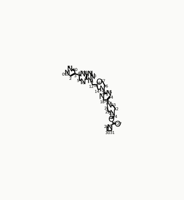 Cn1cc(-c2cnc3c(nnn3CC3CN(c4ncc(N5CCN(COC(=O)N6CCC6)CC5)cn4)CCO3)n2)cn1